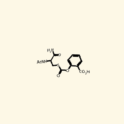 CC(=O)NC(CSC(=O)Oc1ccccc1C(=O)O)C(N)=O